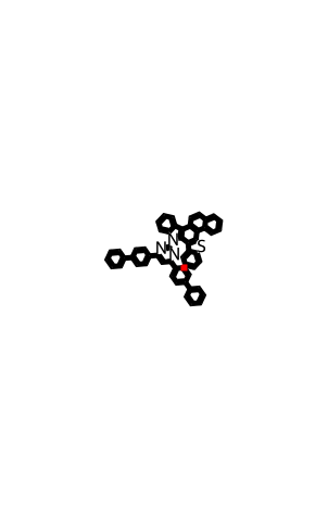 c1ccc(-c2ccc(-c3cc(-c4ccc(-c5ccccc5)cc4)nc(-n4c5ccccc5c5c6ccc7ccccc7c6c6sc7ccccc7c6c54)n3)cc2)cc1